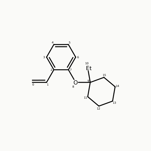 C=Cc1ccccc1OC1(CC)CCCCC1